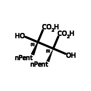 CCCCC[C@@](O)(C(=O)O)[C@@](O)(CCCCC)C(=O)O